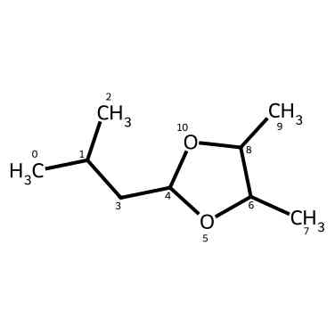 CC(C)CC1OC(C)C(C)O1